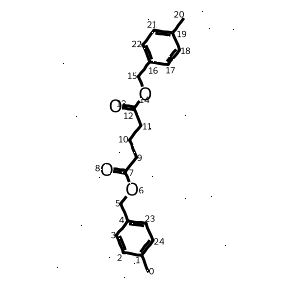 Cc1ccc(COC(=O)CCCC(=O)OCc2ccc(C)cc2)cc1